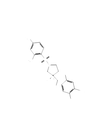 N#Cc1cc(C(F)(F)F)ccc1S(=O)(=O)N1C[C@H](Oc2ccc(F)c(C(F)(F)F)c2)[C@](O)(CO)C1